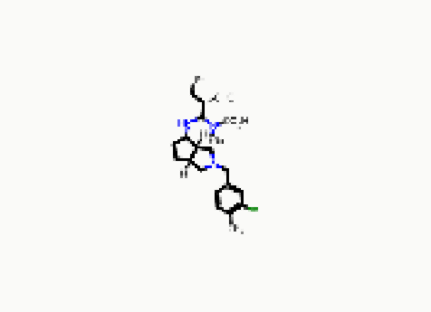 CC(C)C[C@H](C=O)C(N[C@@H]1CC[C@H]2CN(Cc3ccc(C(F)(F)F)c(F)c3)C[C@H]21)N(C(=O)O)C(C)(C)C